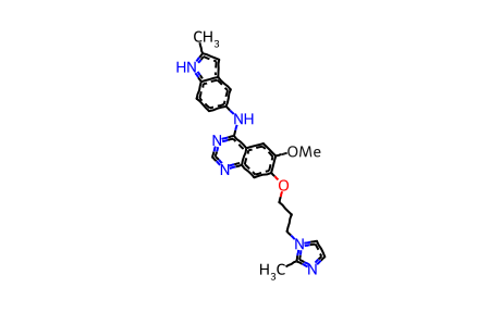 COc1cc2c(Nc3ccc4[nH]c(C)cc4c3)ncnc2cc1OCCCn1ccnc1C